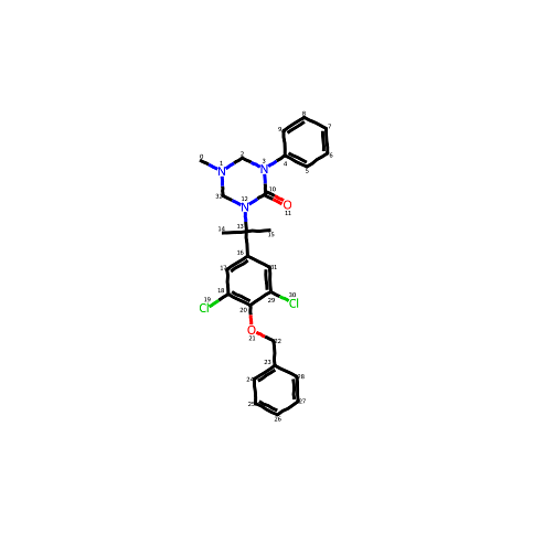 CN1CN(c2ccccc2)C(=O)N(C(C)(C)c2cc(Cl)c(OCc3ccccc3)c(Cl)c2)C1